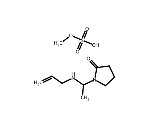 C=CCNC(C)N1CCCC1=O.COS(=O)(=O)O